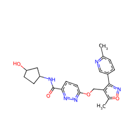 Cc1ccc(-c2noc(C)c2COc2ccc(C(=O)NC3CCC(O)C3)nn2)cn1